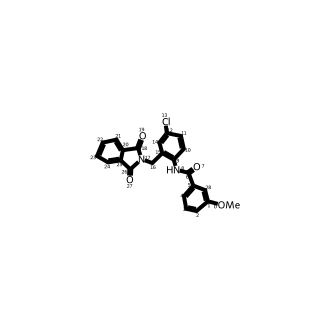 COc1cccc(C(=O)Nc2ccc(Cl)cc2CN2C(=O)c3ccccc3C2=O)c1